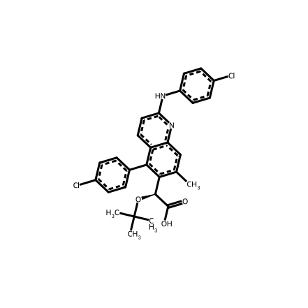 Cc1cc2nc(Nc3ccc(Cl)cc3)ccc2c(-c2ccc(Cl)cc2)c1[C@H](OC(C)(C)C)C(=O)O